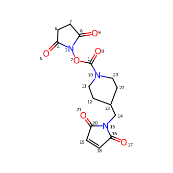 O=C(ON1C(=O)CCC1=O)N1CCC(CN2C(=O)C=CC2=O)CC1